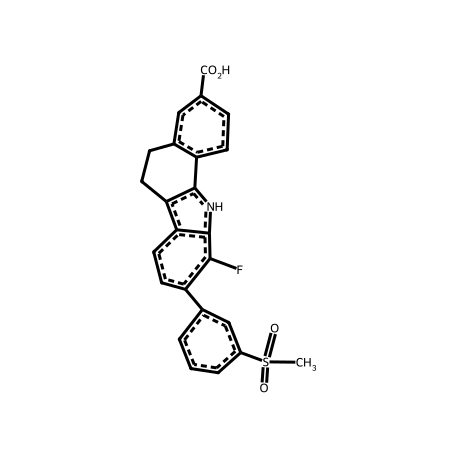 CS(=O)(=O)c1cccc(-c2ccc3c4c([nH]c3c2F)-c2ccc(C(=O)O)cc2CC4)c1